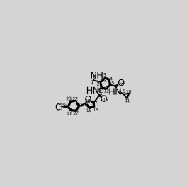 NCc1ccc(C(=O)NC2CC2)cc1NC(=O)c1ccc(-c2ccc(Cl)cc2)o1